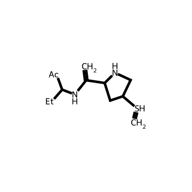 C=[SH]C1CNC(C(=C)NC(CC)C(C)=O)C1